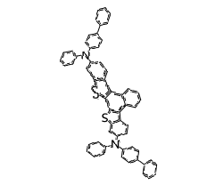 c1ccc(-c2ccc(N(c3ccccc3)c3ccc4c(c3)sc3c5sc6cc(N(c7ccccc7)c7ccc(-c8ccccc8)cc7)ccc6c5c5ccccc5c43)cc2)cc1